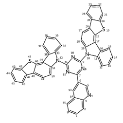 c1ccc2ncc(-c3nc(-n4c5ccccc5c5c6sc7ccccc7c6ccc54)nc(-n4c5ccccc5c5c6sc7ccccc7c6ccc54)n3)cc2c1